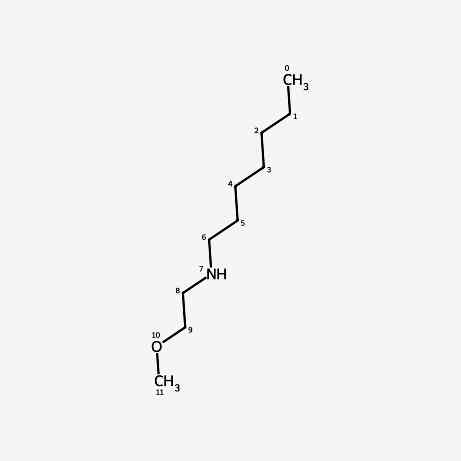 CCCCCCCNCCOC